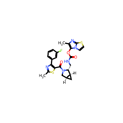 Cc1nc(-c2cccc(F)c2)c(C(=O)N2C[C@@H]3C[C@@H]3[C@H]2CNC(=O)Oc2c(C)nc3sccn23)s1